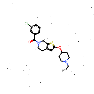 CC(C)CN1CCC(Oc2cc3c(s2)CN(C(=O)c2cccc(Cl)c2)CC3)CC1